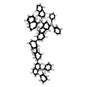 c1ccc(N(c2ccccc2)c2cc(N(c3ccc4ccccc4c3)c3cccc4ccccc34)c3oc4cc(-c5ccc6sc7cc(-c8cc(N(c9ccccc9)c9ccccc9)c9ccccc9c8)ccc7c6c5)ccc4c3c2)cc1